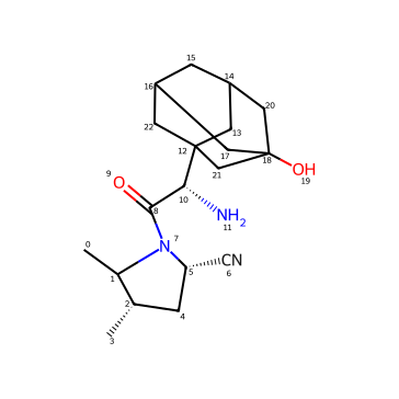 CC1[C@@H](C)C[C@@H](C#N)N1C(=O)[C@@H](N)C12CC3CC(CC(O)(C3)C1)C2